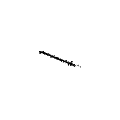 [N-]=[N+]=NCCOCCOCCOCCOCCOCCOCCOCCOCCOCCC(=O)NCCN